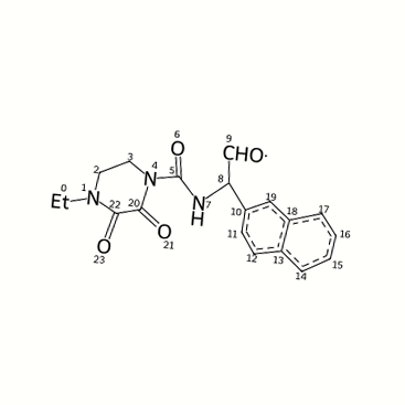 CCN1CCN(C(=O)NC([C]=O)c2ccc3ccccc3c2)C(=O)C1=O